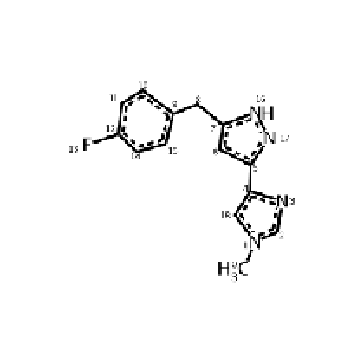 Cn1cnc(-c2cc(Cc3ccc(F)cc3)[nH]n2)c1